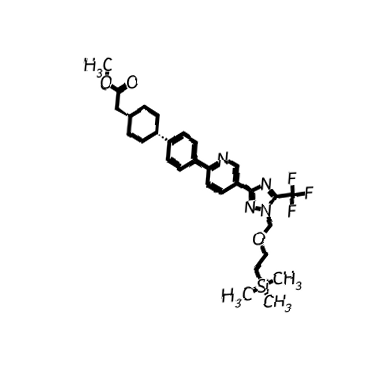 COC(=O)C[C@H]1CC[C@H](c2ccc(-c3ccc(-c4nc(C(F)(F)F)n(COCC[Si](C)(C)C)n4)cn3)cc2)CC1